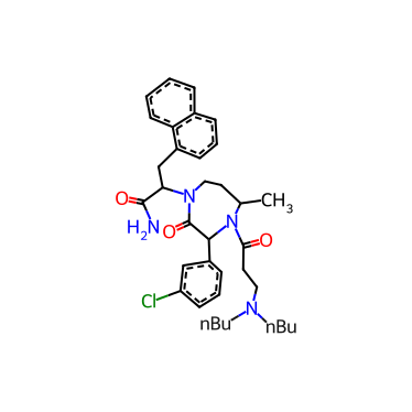 CCCCN(CCCC)CCC(=O)N1C(C)CCN(C(Cc2cccc3ccccc23)C(N)=O)C(=O)C1c1cccc(Cl)c1